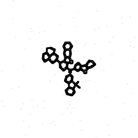 CC1(C)c2ccccc2-c2ccc(N(c3ccc4c(c3)oc3ccccc34)c3ccc(-c4cc5c6c(cccc6c4)CC=C5)c4c3oc3cc5ccccc5cc34)cc21